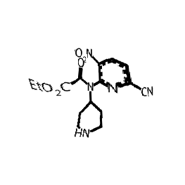 CCOC(=O)C(=O)N(c1nc(C#N)ccc1[N+](=O)[O-])C1CCNCC1